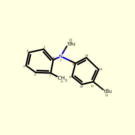 Cc1ccccc1N(c1ccc(C(C)(C)C)cc1)C(C)(C)C